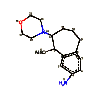 COC1c2cc(N)ccc2CCCC1N1CCOCC1